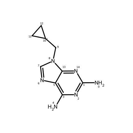 Nc1nc(N)c2ncn(C[C]3CC3)c2n1